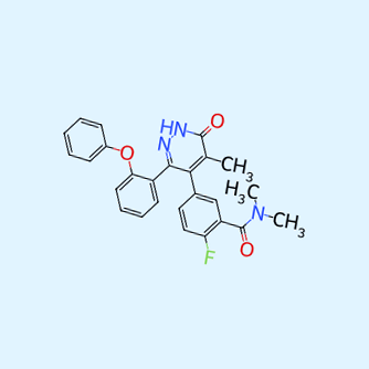 Cc1c(-c2ccc(F)c(C(=O)N(C)C)c2)c(-c2ccccc2Oc2ccccc2)n[nH]c1=O